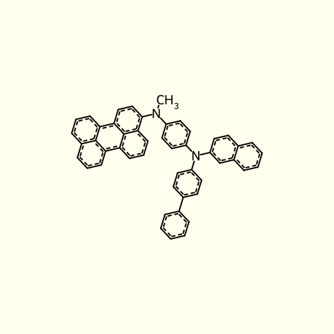 CN(c1ccc(N(c2ccc(-c3ccccc3)cc2)c2ccc3ccccc3c2)cc1)c1ccc2c3cccc4cccc(c5cccc1c52)c43